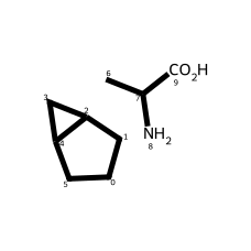 C1CC2CC2C1.CC(N)C(=O)O